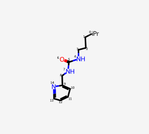 CC(C)CCCNC(=O)NCc1ccccn1